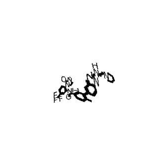 Cc1ccc(C(=O)Nc2cc(C(F)(F)F)ccc2N2CCN(C)C2=O)cc1-c1ccc2nc(NCCN3CCCCC3)ncc2c1